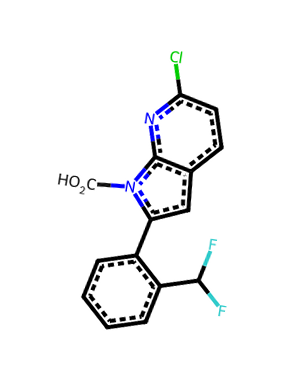 O=C(O)n1c(-c2ccccc2C(F)F)cc2ccc(Cl)nc21